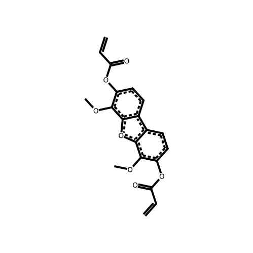 C=CC(=O)Oc1ccc2c(oc3c(OC)c(OC(=O)C=C)ccc32)c1OC